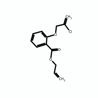 C=CCOC(=O)c1ccccc1OCC(=C)Cl